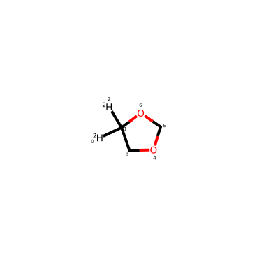 [2H]C1([2H])COCO1